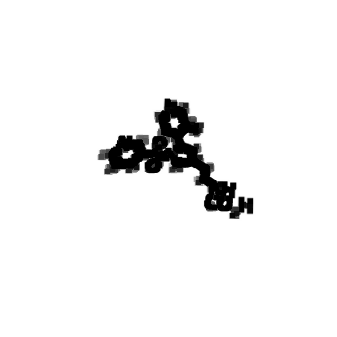 O=C(O)NCCc1cc(-c2ccncc2F)n(S(=O)(=O)c2cccnc2)c1